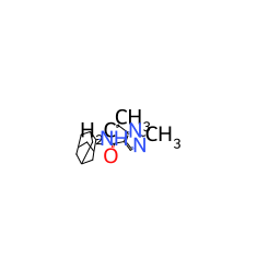 C=C(C)c1nc(C)ncc1C(=O)NC1C2CC3CC(C2)CC1C3